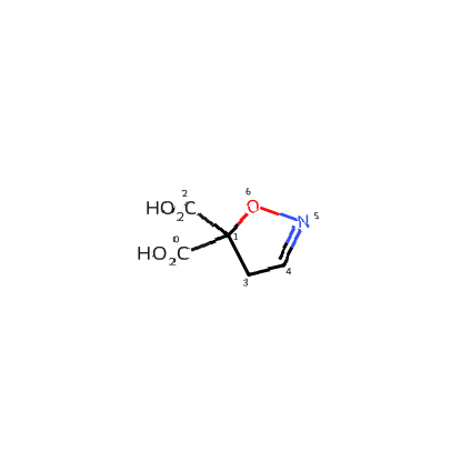 O=C(O)C1(C(=O)O)CC=NO1